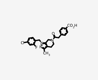 Cc1nn(Cc2ccc(Cl)cc2F)c2c1CCN(C(=O)Cc1ccc(C(=O)O)cc1)C2